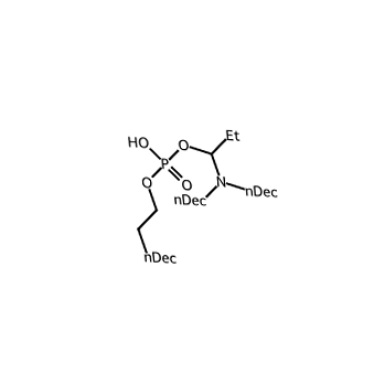 CCCCCCCCCCCCOP(=O)(O)OC(CC)N(CCCCCCCCCC)CCCCCCCCCC